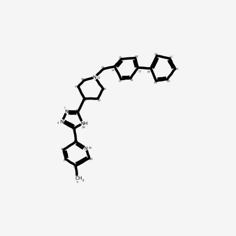 Cc1ccc(-c2nnc(C3CCN(Cc4ccc(-c5[c]cccc5)cc4)CC3)[nH]2)nc1